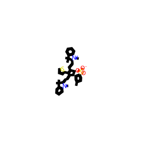 CN1/C(=C\C=C2\CCC(/C=C/C3=[N+](C)c4ccccc4C3(C)C)=C2c2cccs2)C(C)(C)c2ccccc21.Cc1ccc(S(=O)(=O)[O-])cc1